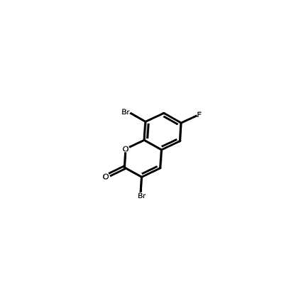 O=c1oc2c(Br)cc(F)cc2cc1Br